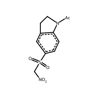 CC(=O)N1CCc2cc(S(=O)(=O)C[N+](=O)[O-])ccc21